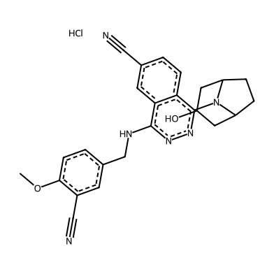 COc1ccc(CNc2nnc(N3C4CCC3CC(O)C4)c3ccc(C#N)cc23)cc1C#N.Cl